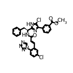 COC(=O)c1cccc(-c2nc([C@H](Cc3ccccc3)NC(=O)C=Cc3cc(Cl)ccc3-n3cnnn3)[nH]c2Cl)c1